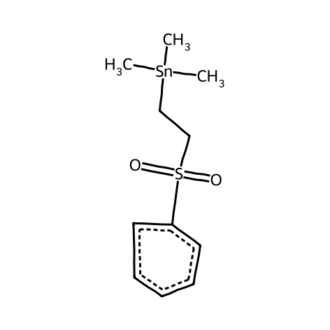 [CH3][Sn]([CH3])([CH3])[CH2]CS(=O)(=O)c1ccccc1